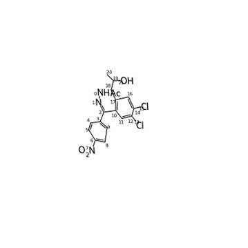 CC(=O)NN=C(c1ccc([N+](=O)[O-])cc1)c1cc(Cl)c(Cl)cc1CC(C)O